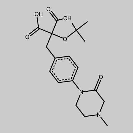 CN1CCN(c2ccc(CC(OC(C)(C)C)(C(=O)O)C(=O)O)cc2)C(=O)C1